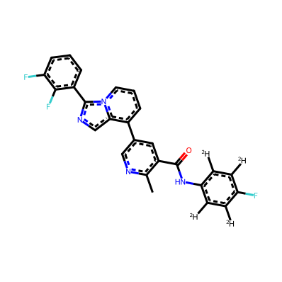 [2H]c1c([2H])c(NC(=O)c2cc(-c3cccn4c(-c5cccc(F)c5F)ncc34)cnc2C)c([2H])c([2H])c1F